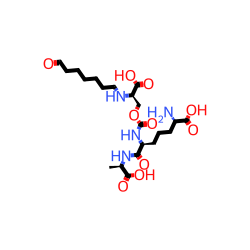 C[C@@H](NC(=O)[C@H](CCC[C@@H](N)C(=O)O)NC(=O)OC[C@@H](NCCCCCCC=O)C(=O)O)C(=O)O